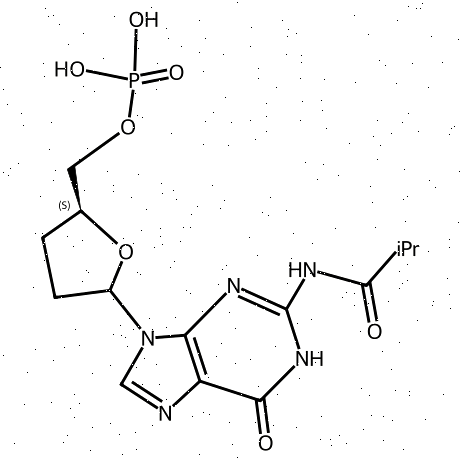 CC(C)C(=O)Nc1nc2c(ncn2C2CC[C@@H](COP(=O)(O)O)O2)c(=O)[nH]1